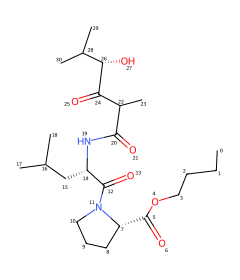 CCCCOC(=O)[C@@H]1CCCN1C(=O)[C@H](CC(C)C)NC(=O)C(C)C(=O)[C@@H](O)C(C)C